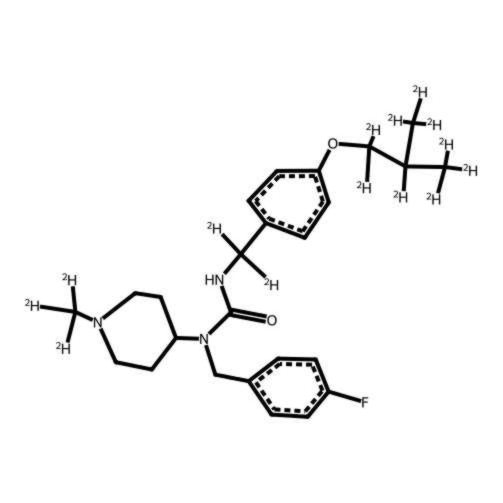 [2H]C([2H])(NC(=O)N(Cc1ccc(F)cc1)C1CCN(C([2H])([2H])[2H])CC1)c1ccc(OC([2H])([2H])C([2H])(C([2H])([2H])[2H])C([2H])([2H])[2H])cc1